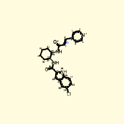 O=C(/C=C/c1ccncc1)N[C@@H]1CCCC[C@@H]1NC(=O)c1cc2cc(Cl)ccc2[nH]1